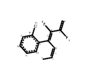 C=C(F)/C(F)=C(\C=C/C)c1ccccc1Cl